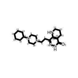 O=c1[nH]nc(CCN2CCN(C3CCCCC3)CC2)c2c1CCCN2